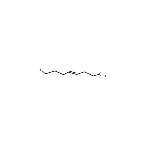 CCCC=CCCC[S]